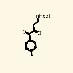 CCCCCCCCCC(=O)C(=O)c1ccc(F)cc1